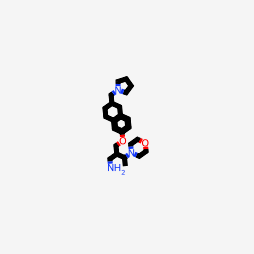 CC(C(CN)COc1ccc2c(c1)CCC(CN1CCCC1)C2)N1CCOCC1